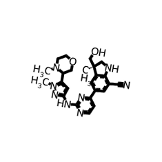 CN1CCOCC1c1cc(Nc2nccc(-c3cc(C#N)c4c(c3)[C@@](C)(CO)CN4)n2)nn1C